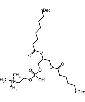 CCCCCCCCCCCCCCCCC(=O)OC(COC(=O)CCCCCCCCCCCCCC)COP(=O)(O)OCC[N+](C)(C)C